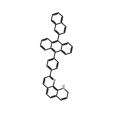 C1=Cc2ccc3ccc(-c4ccc(-c5c6ccccc6c(-c6ccc7ccccc7c6)c6ccccc56)cc4)nc3c2NC1